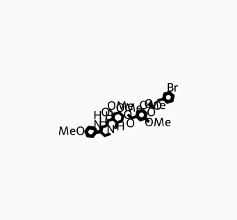 COC(=O)[C@H]1[C@H]2C[C@@H]3c4[nH]c5cc(OC)ccc5c4CCN3C[C@H]2C[C@@H](OC(=O)c2cc(OC)c(OC(=O)OCc3cccc(Br)c3)c(OC)c2)[C@@H]1OC